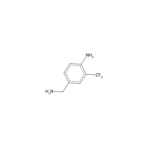 NCc1ccc(N)c(C(F)(F)F)c1